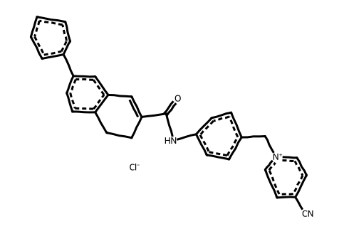 N#Cc1cc[n+](Cc2ccc(NC(=O)C3=Cc4cc(-c5ccccc5)ccc4CC3)cc2)cc1.[Cl-]